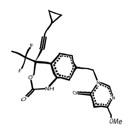 COc1cc(=O)n(Cc2ccc3c(c2)NC(=O)O[C@]3(C#CC2CC2)C(C)(F)F)cn1